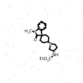 CCOC(=O)N[C@H]1CCN(C2CCC3(CC2)C(=O)N(C)c2ccccc23)C1